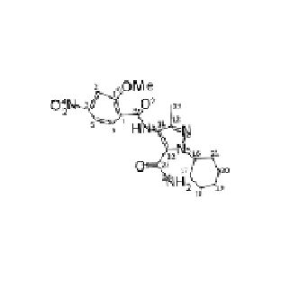 COc1cc([N+](=O)[O-])ccc1C(=O)Nc1c(C)nn(C2CCCCC2)c1C(N)=O